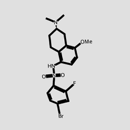 COc1ccc(NS(=O)(=O)c2ccc(Br)cc2F)c2c1C[C@@H](N(C)C)CC2